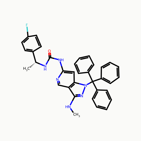 CNc1nn(C(c2ccccc2)(c2ccccc2)c2ccccc2)c2cc(NC(=O)N[C@H](C)c3ccc(F)cc3)ncc12